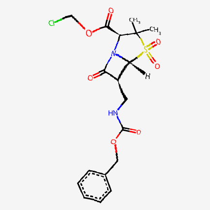 CC1(C)[C@H](C(=O)OCCl)N2C(=O)[C@H](CNC(=O)OCc3ccccc3)[C@H]2S1(=O)=O